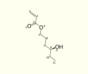 C=CC(=O)OCCC[C@@H](O)CC